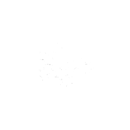 Sc1c(C2=CC=CC2)c2ccccc2c2c3ncccc3n(-c3nc(-c4ccc5oc6ccccc6c5c4)c4ccccc4n3)c12